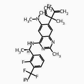 C=CC(C)(C(=C)CC)c1cc2nc(C)nc(N[C@H](C)c3cccc(C(F)(F)C(C)C)c3F)c2cc1N(C)C